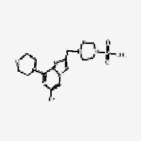 CS(=O)(=O)N1CCN(Cc2cn3cc(Br)nc(N4CCOCC4)c3n2)CC1